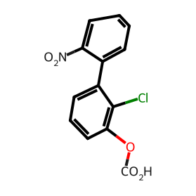 O=C(O)Oc1cccc(-c2ccccc2[N+](=O)[O-])c1Cl